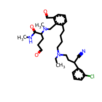 CCN(CCCCc1cccc(C=O)c1CN(C)C(CCC=O)C(=O)NC)CCC(C#N)c1cccc(Cl)c1